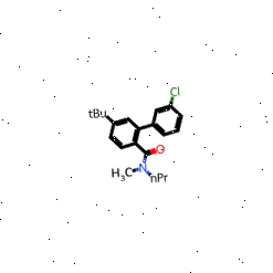 [CH2]CCN(C)C(=O)c1ccc(C(C)(C)C)cc1-c1cccc(Cl)c1